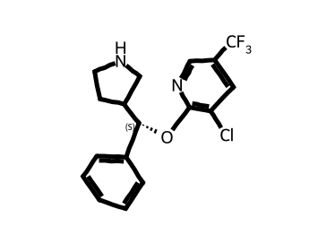 FC(F)(F)c1cnc(O[C@H](c2ccccc2)C2CCNC2)c(Cl)c1